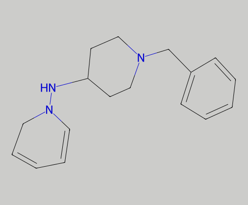 C1=CCN(NC2CCN(Cc3ccccc3)CC2)C=C1